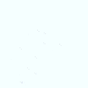 [CH2]C(CNC(=O)c1nc(Cl)c(N(N)C(N)=O)nc1N(N)C(N)=O)Cc1ccccc1C